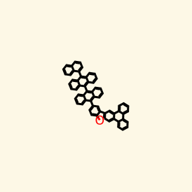 c1ccc2c(-c3c4ccccc4c(-c4c5ccccc5c(-c5ccc6oc7cc8c9ccccc9c9ccccc9c8cc7c6c5)c5ccccc45)c4ccccc34)cccc2c1